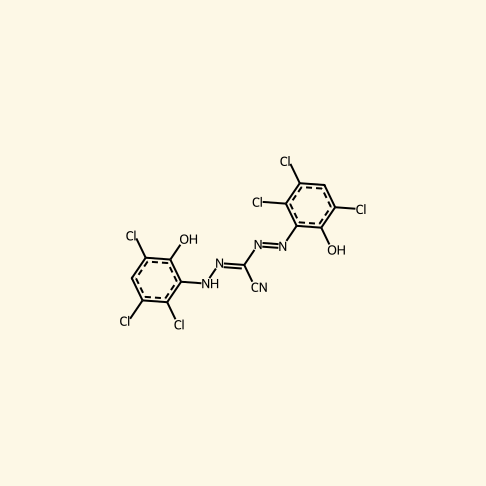 N#CC(/N=N/c1c(O)c(Cl)cc(Cl)c1Cl)=N\Nc1c(O)c(Cl)cc(Cl)c1Cl